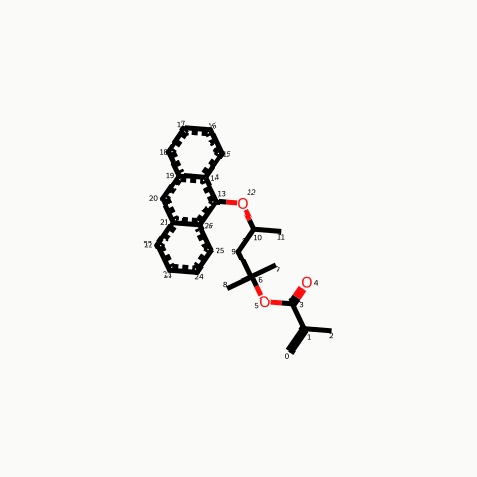 C=C(C)C(=O)OC(C)(C)CC(C)Oc1c2ccccc2cc2ccccc12